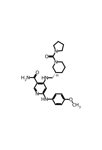 COc1ccc(Nc2cc(NC[C@H]3CCCN(C(=O)N4CCCC4)C3)c(C(N)=O)cn2)cc1